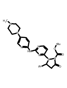 CC(C)C1CC(=O)N(C(=O)OC(C)(C)C)N1c1ccnc(Nc2ccc(N3CCN(C)CC3)cn2)n1